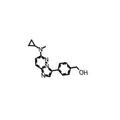 CN(c1ccc2ncc(-c3ccc(CO)cc3)n2n1)C1CC1